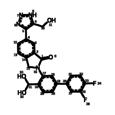 O=C1c2cc(-c3nn[nH]c3CO)ccc2CN1c1cc(-c2ccc(F)c(F)c2)ccc1C(O)O